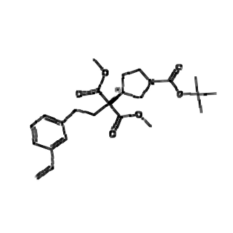 C=Cc1cccc(CCC(C(=O)OC)(C(=O)OC)[C@H]2CCN(C(=O)OC(C)(C)C)C2)c1